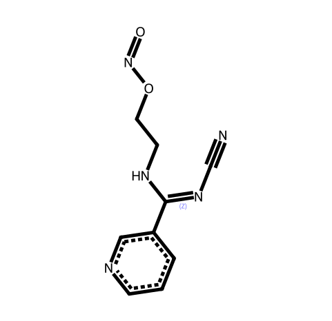 N#C/N=C(\NCCON=O)c1cccnc1